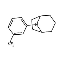 FC(F)(F)c1cccc(N2C3CCCC2CC3)c1